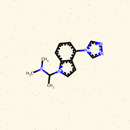 CC(N(C)C)n1ccc2c(-n3cnnc3)cccc21